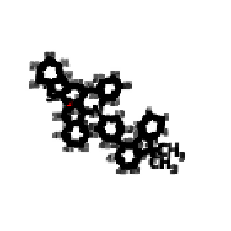 CC1(C)c2ccccc2-c2c(-c3ccc(N(c4ccccc4-c4ccc5sc6ccccc6c5c4)c4cccc5ccccc45)cc3)cccc21